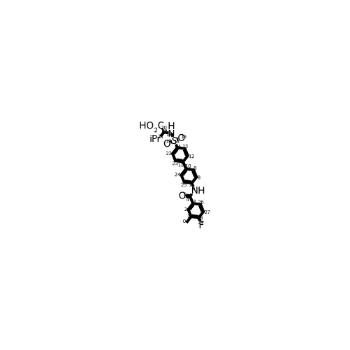 Cc1cc(C(=O)Nc2ccc(-c3ccc(S(=O)(=O)N[C@H](C(=O)O)C(C)C)cc3)cc2)ccc1F